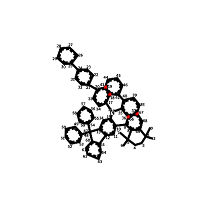 CC1(C)CCC(C)(C)c2c(-c3cc4c(cc3N(c3ccc(-c5ccc(-c6ccccc6)cc5)cc3)c3ccccc3-c3ccccc3)C(c3ccccc3)(c3ccccc3)c3ccccc3-4)cccc21